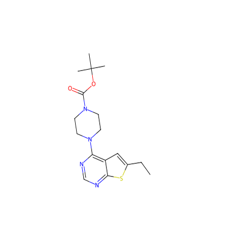 CCc1cc2c(N3CCN(C(=O)OC(C)(C)C)CC3)ncnc2s1